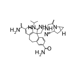 C=C(N)c1ccc2c(c1)CCc1cc(C(N)=O)ccc1C2(CCNCC(=C)N1C(C#N)C[C@@H]2CC21)C(=N)NC(C)C